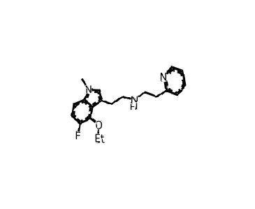 CCOc1c(F)ccc2c1c(CCNCCc1ccccn1)cn2C